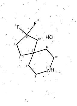 Cl.FC1(F)CCC2(CCNCC2)C1